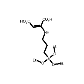 CCO[Si](CCCNC(=CC(=O)O)C(=O)O)(OCC)OCC